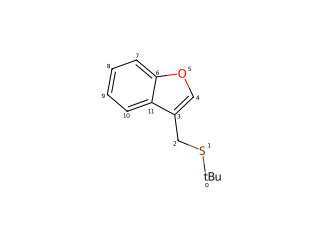 CC(C)(C)SCc1coc2ccccc12